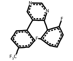 Fc1cccc(F)c1-c1n[c]ncc1-c1ccc(C(F)(F)F)cc1